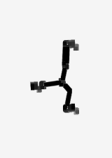 C=BB(C)CC